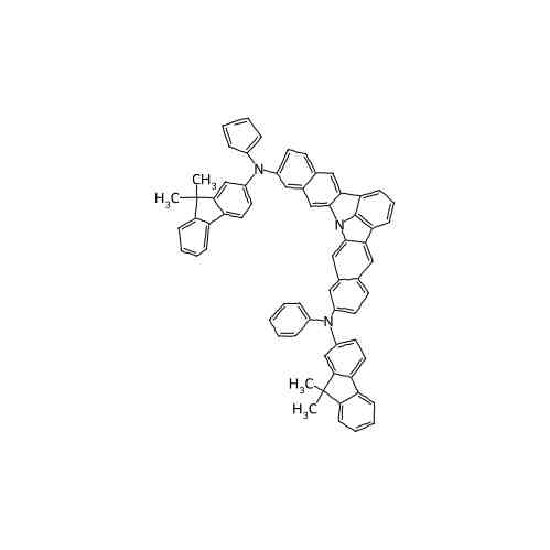 CC1(C)c2ccccc2-c2ccc(N(c3ccccc3)c3ccc4cc5c6cccc7c8cc9ccc(N(c%10ccccc%10)c%10ccc%11c(c%10)C(C)(C)c%10ccccc%10-%11)cc9cc8n(c5cc4c3)c67)cc21